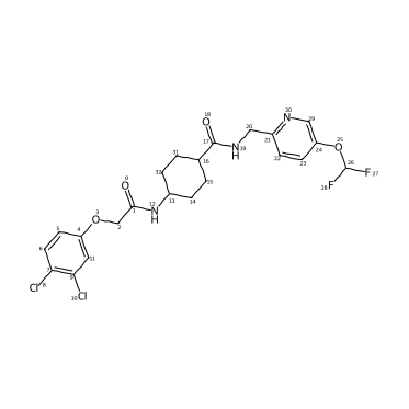 O=C(COc1ccc(Cl)c(Cl)c1)NC1CCC(C(=O)NCc2ccc(OC(F)F)cn2)CC1